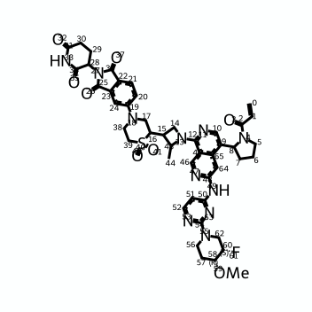 C=CC(=O)N1CCCC1c1cnc(N2CC(C3CN(c4ccc5c(c4)C(=O)N(C4CCC(=O)NC4=O)C5=O)CCS3(=O)=O)C2C)c2cnc(Nc3ccnc(N4CC[C@@H](OC)[C@@H](F)C4)n3)cc12